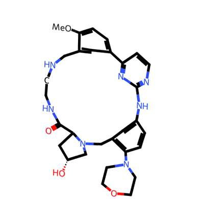 COc1ccc2cc1CNCCNC(=O)C1C[C@@H](O)CN1Cc1cc(ccc1N1CCOCC1)Nc1nccc-2n1